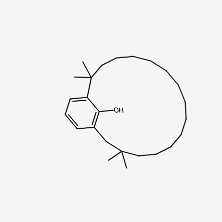 CC1(C)CCCCCCCCCCCCC(C)(C)c2cccc(c2O)C1